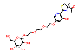 CC(=O)[C@@]1(C)CSC(c2ncc(OCCOCCOCCO[C@H]3OC(CO)[C@@H](O)[C@@H](O)C3O)cc2O)=N1